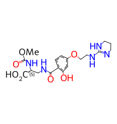 COC(=O)N[C@@H](CNC(=O)c1ccc(OCCNC2=NCCCN2)cc1O)C(=O)O